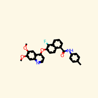 COc1cc2nccc(Oc3ccc4c(C(=O)Nc5ccc(C)cc5)cccc4c3F)c2cc1OC